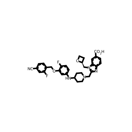 N#Cc1ccc(COc2cc(NC3CCN(Cc4nc5ccc(C(=O)O)cc5n4C[C@@H]4CCO4)CC3)ccc2F)c(F)c1